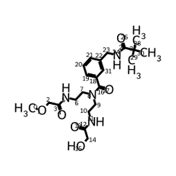 COCC(=O)NCCN(CCNC(=O)CO)C(=O)c1cccc(CNC(=O)C(C)(C)C)c1